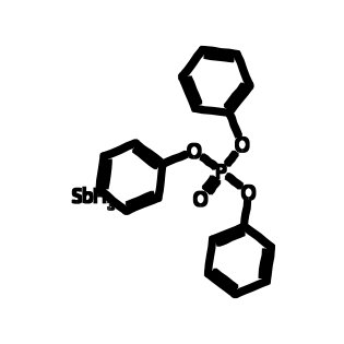 O=P(Oc1ccccc1)(Oc1ccccc1)Oc1ccccc1.[SbH3]